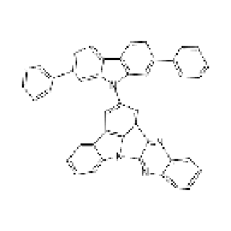 c1ccc(-c2ccc3c4ccc(-c5ccccc5)cc4n(-c4cc5c6ccccc6n6c7nc8ccccc8nc7c(c4)c56)c3c2)cc1